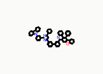 c1ccc(-c2cc(-c3cccc(-c4cccc(-c5nc6ccccc6c6c(-c7ccccc7)c7c(cc56)oc5ccccc57)c4)c3)nc(-c3cccc(-n4c5ccccc5c5ccccc54)c3)n2)cc1